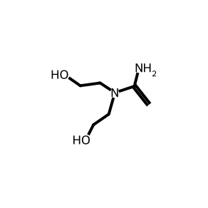 C=C(N)N(CCO)CCO